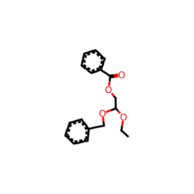 CCOC(COC(=O)c1ccccc1)OCc1ccccc1